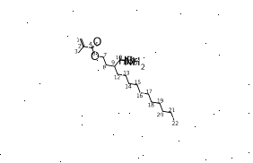 Br.C=C(C)C(=O)OCCC(CN)CCCCCCCCCCC